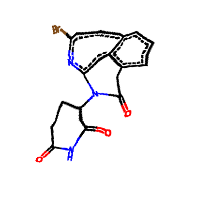 O=C1CCC(N2C(=O)c3cccc4cc(Br)nc2c34)C(=O)N1